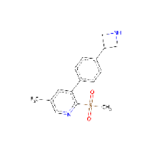 CS(=O)(=O)c1ncc(C(F)(F)F)cc1-c1ccc(C2CNC2)cc1